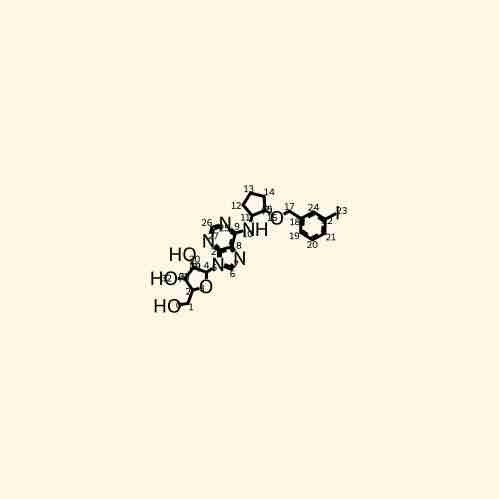 OCC1OC(n2cnc3c(NC4CCC[C@H]4OCc4cccc(I)c4)ncnc32)[C@H](O)[C@@H]1O